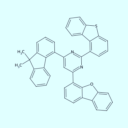 CC1(C)c2ccccc2-c2c(-c3cc(-c4cccc5c4oc4ccccc45)nc(-c4cccc5sc6ccccc6c45)n3)cccc21